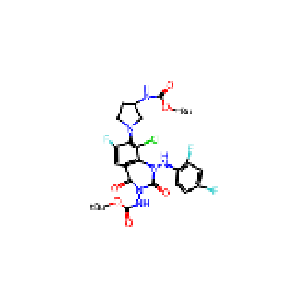 CC(C)(C)OC(=O)NC1CCN(c2c(F)cc3c(=O)n(NC(=O)OC(C)(C)C)c(=O)n(Nc4ccc(F)cc4F)c3c2Cl)C1